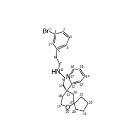 Brc1cccc(CCNCC[C@]2(c3ccccn3)CCOC3(CCCC3)C2)c1